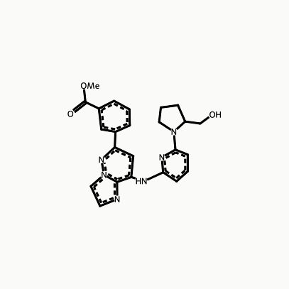 COC(=O)c1cccc(-c2cc(Nc3cccc(N4CCCC4CO)n3)c3nccn3n2)c1